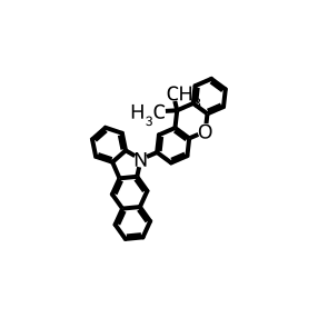 CC1(C)c2ccccc2Oc2ccc(-n3c4ccccc4c4cc5ccccc5cc43)cc21